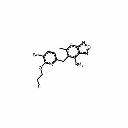 Cc1nc2nonc2c(N)c1Cc1ccc(Br)c(OCCF)n1